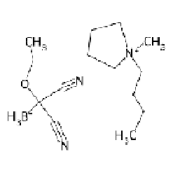 CCCC[N+]1(C)CCCC1.[BH3-]C(C#N)(C#N)OCC